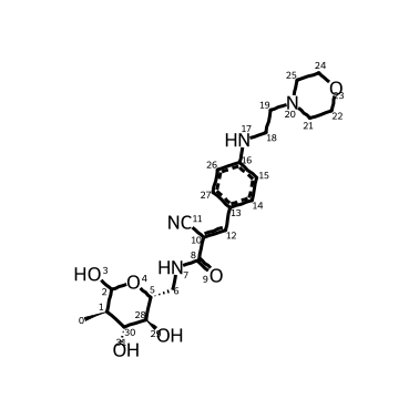 C[C@H]1C(O)O[C@H](CNC(=O)/C(C#N)=C/c2ccc(NCCN3CCOCC3)cc2)[C@@H](O)[C@@H]1O